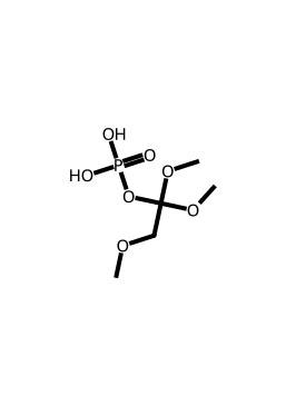 COCC(OC)(OC)OP(=O)(O)O